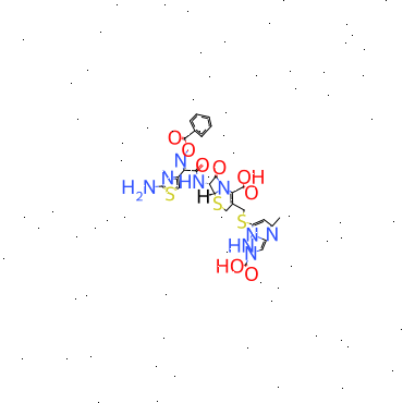 CC1=NC2=CN(C(=O)O)NN2C(SCC2=C(C(=O)O)N3C(=O)[C@@H](NC(=O)/C(=N\OC(=O)c4ccccc4)c4csc(N)n4)[C@H]3SC2)=C1